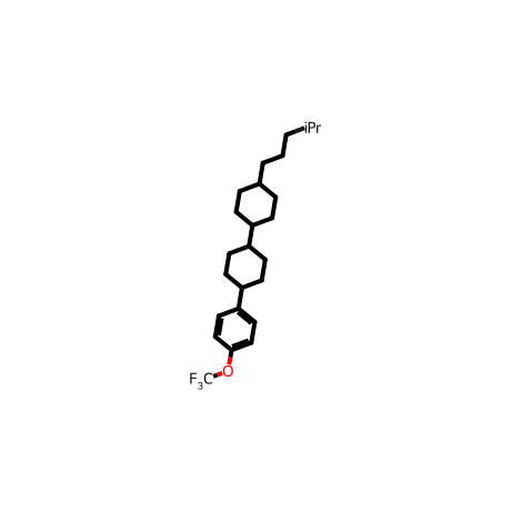 CC(C)CCCC1CCC(C2CCC(c3ccc(OC(F)(F)F)cc3)CC2)CC1